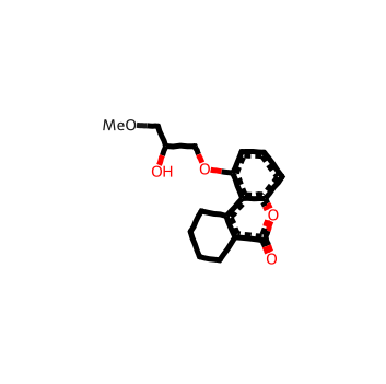 COCC(O)COc1cccc2oc(=O)c3c(c12)CCCC3